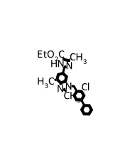 CCOC(=O)c1[nH]c(-c2cc(C)c3nc(C)n(Cc4ccc(-c5ccccc5)cc4Cl)c3c2)nc1C